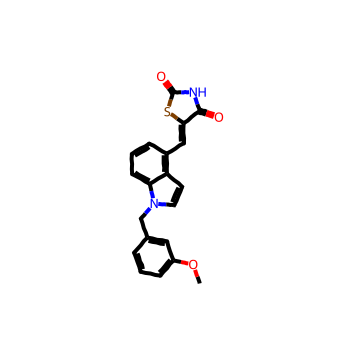 COc1cccc(Cn2ccc3c(C=C4SC(=O)NC4=O)cccc32)c1